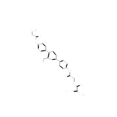 C=C(C)C(=O)OCC(=O)Oc1ccc(-c2ccc(-c3ccc(OC(=O)CC)cc3)c(CC)c2)cc1